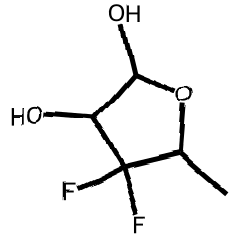 CC1OC(O)C(O)C1(F)F